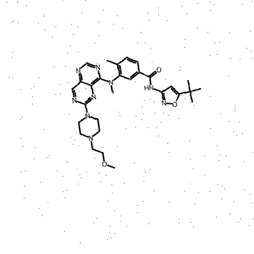 COCCN1CCN(c2ncc3ncnc(N(C)c4cc(C(=O)Nc5cc(C(C)(C)C)on5)ccc4C)c3n2)CC1